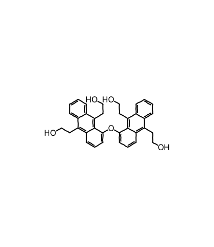 OCCc1c2ccccc2c(CCO)c2c(Oc3cccc4c(CCO)c5ccccc5c(CCO)c34)cccc12